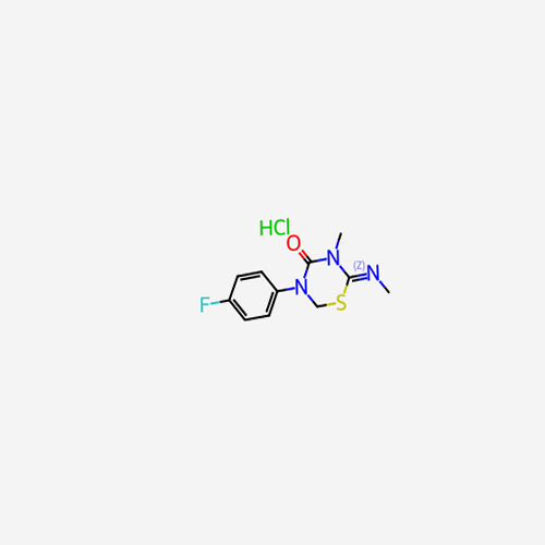 C/N=C1\SCN(c2ccc(F)cc2)C(=O)N1C.Cl